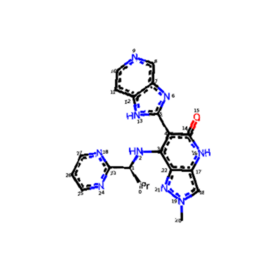 CC(C)[C@H](Nc1c(-c2nc3cnccc3[nH]2)c(=O)[nH]c2cn(C)nc12)c1ncccn1